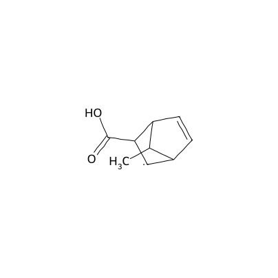 CC1C2[CH]C(C(=O)O)C1C=C2